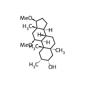 CO[C@H]1C[C@]2(C)[C@@H](OC)CC[C@H]2[C@@H]2CC[C@@]3(C)C[C@H](O)[C@H](C)C[C@]3(C)[C@H]21